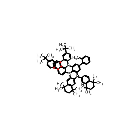 Cc1ccccc1-c1cc2c3c(c1)N(c1ccc(C(C)(C)C)cc1-c1ccccc1)c1c(ccc4c1sc1cc(C(C)(C)C)ccc14)B3c1cc3c(cc1N2c1ccc2c(c1)C(C)(C)CCC2(C)C)C(C)(C)CCC3(C)C